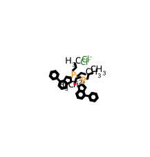 CCCCP(CCCC)C1=Cc2c(-c3ccccc3)cccc2[CH]1[Ti+2][CH]1C(P(CCCC)CCCC)=Cc2c(-c3ccccc3)cccc21.[Cl-].[Cl-]